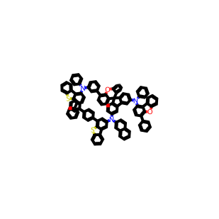 c1ccc(-c2ccc(-c3cc(N(c4ccc5c(c4)-c4cc(N(c6ccccc6)c6ccc(-c7ccccc7)c7oc8ccccc8c67)ccc4C54c5ccccc5Oc5c(-c6cccc(N(c7ccccc7)c7ccc(-c8ccccc8)c8sc9ccccc9c78)c6)cccc54)c4ccc5ccccc5c4)cc4c3sc3ccccc34)cc2)cc1